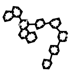 c1ccc(-c2ccc(-c3cccc(-c4cccc(-c5ccc(-c6nc(-c7cccc8ccccc78)nc7ccc8ccccc8c67)cc5)c4)c3)cc2)cc1